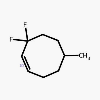 CC1CC/C=C\C(F)(F)CC1